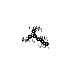 CC(C)(C)c1ccc2c(c1)c1cc(-c3ccc4c(c3)C(C)(C)c3cc5c(cc3-4)C(C)(C)c3ccccc3-5)cc3c4cc(C(C)(C)C)ccc4n2c13